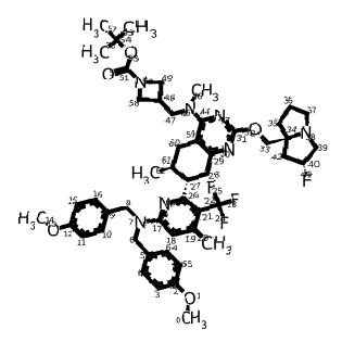 COc1ccc(CN(Cc2ccc(OC)cc2)c2cc(C)c(C(F)(F)F)c([C@H]3Cc4nc(OC[C@@]56CCCN5C[C@H](F)C6)nc(N(C)CC5CN(C(=O)OC(C)(C)C)C5)c4C[C@@H]3C)n2)cc1